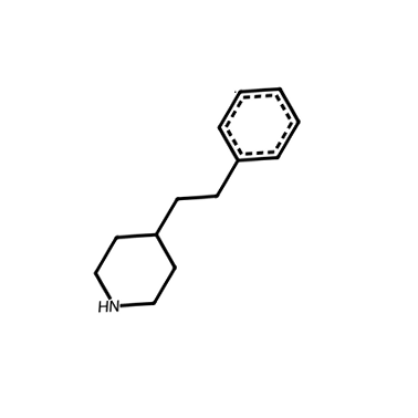 [c]1cccc(CCC2CCNCC2)c1